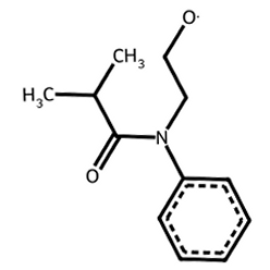 CC(C)C(=O)N(CC[O])c1ccccc1